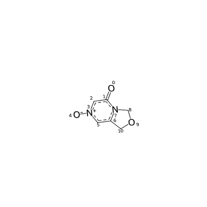 O=c1c[n+]([O-])cc2n1COC2